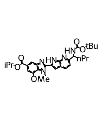 CCCC(NC(=O)OC(C)(C)C)c1ccc2cc(-c3nc4cc(C(=O)OC(C)C)cc(OC)c4n3C)[nH]c2n1